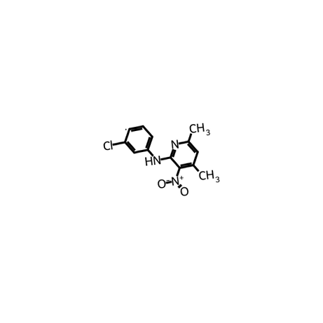 Cc1cc(C)c([N+](=O)[O-])c(Nc2cc[c]c(Cl)c2)n1